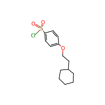 O=S(=O)(Cl)c1ccc(OCCC2CCCCC2)cc1